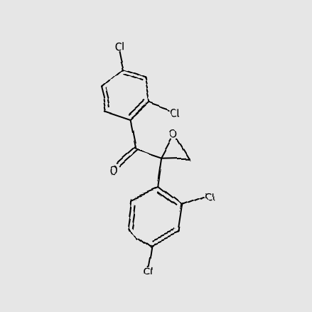 O=C(c1ccc(Cl)cc1Cl)C1(c2ccc(Cl)cc2Cl)CO1